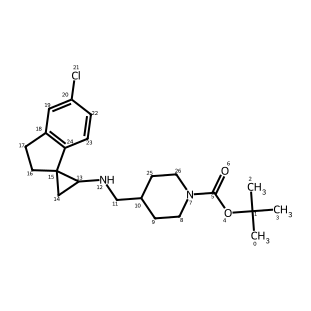 CC(C)(C)OC(=O)N1CCC(CNC2CC23CCc2cc(Cl)ccc23)CC1